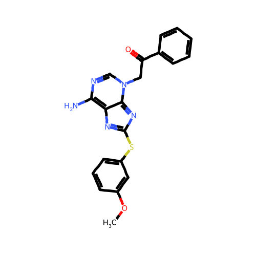 COc1cccc(Sc2nc3c(N)ncn(CC(=O)c4ccccc4)c-3n2)c1